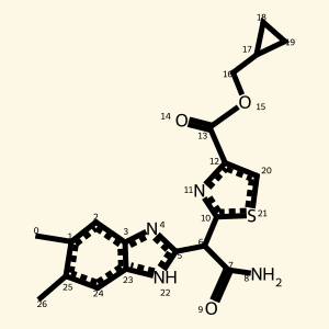 Cc1cc2nc(C(C(N)=O)c3nc(C(=O)OCC4CC4)cs3)[nH]c2cc1C